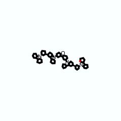 c1cc(-c2ccc3c(c2)c2ccccc2n3-c2ccc3oc4ccc(-n5c6ccccc6c6cc(-c7cccc(-n8c9ccccc9c9ccccc98)c7)ccc65)cc4c3c2)cc(-n2c3ccccc3c3ccccc32)c1